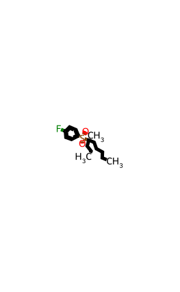 CCCCCC(C)(CCC)S(=O)(=O)c1ccc(F)cc1